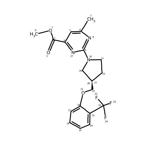 COC(=O)c1cc(C)nc(N2CC[C@@H](COc3ccccc3C(F)(F)F)C2)n1